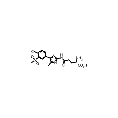 Cc1nc(NC(=O)CC[C@H](N)C(=O)O)sc1-c1ccc(Cl)c(S(C)(=O)=O)c1